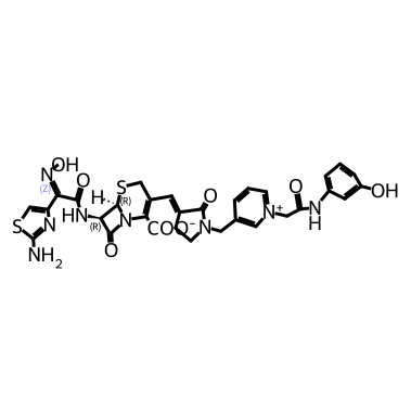 Nc1nc(/C(=N/O)C(=O)N[C@@H]2C(=O)N3C(C(=O)[O-])=C(C=C4CCN(Cc5ccc[n+](CC(=O)Nc6cccc(O)c6)c5)C4=O)CS[C@H]23)cs1